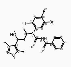 Cc1noc(C)c1C(O)CC(C)N(C(=S)NC(=O)c1ccccc1)c1cc(Br)c(F)cc1F